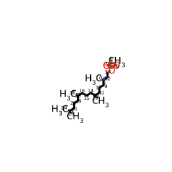 C/C(=C\COS(C)(=O)=O)CCC[C@H](C)CCC[C@H](C)CCCC(C)C